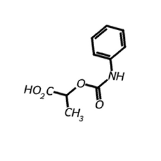 CC(OC(=O)Nc1ccccc1)C(=O)O